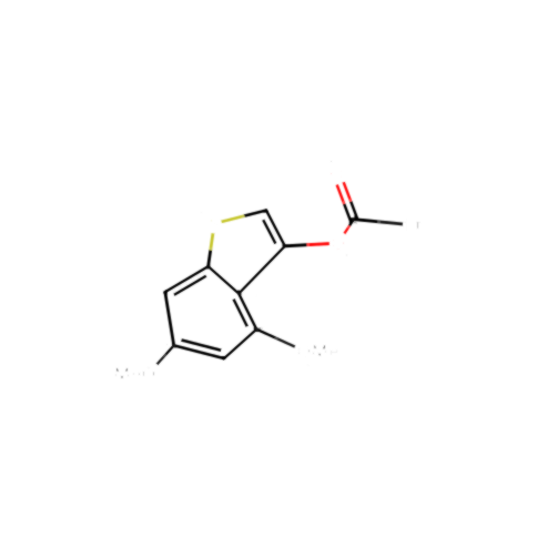 CCC(=O)Oc1csc2cc(OC)cc(OC)c12